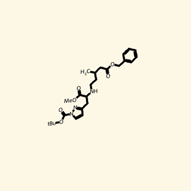 COC(=O)C(Cc1ccn(C(=O)OC(C)(C)C)n1)NCCC(C)CC(=O)OCc1ccccc1